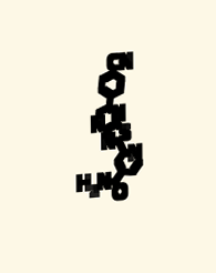 N#Cc1ccc(-c2cnc3nc(-c4cc(C(N)=O)ccn4)sc3n2)cc1